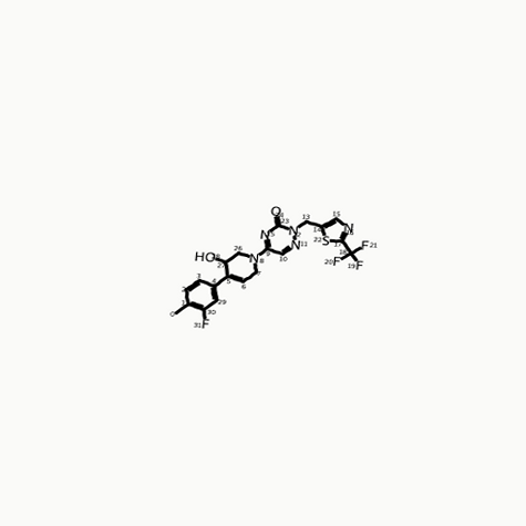 Cc1ccc(C2=CCN(c3cnn(Cc4cnc(C(F)(F)F)s4)c(=O)n3)CC2O)cc1F